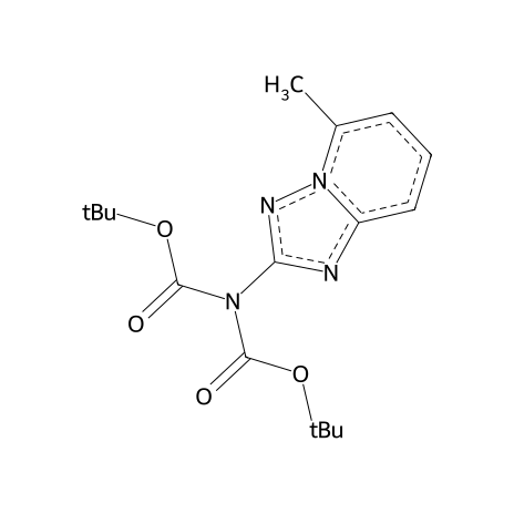 Cc1cccc2nc(N(C(=O)OC(C)(C)C)C(=O)OC(C)(C)C)nn12